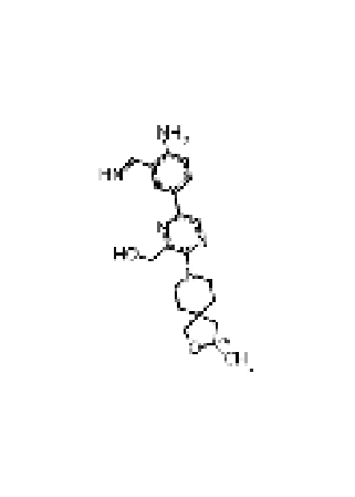 C[C@H]1CC2(CCN(c3ncc(-c4ccc(N)c(C=N)c4)nc3CO)CC2)CO1